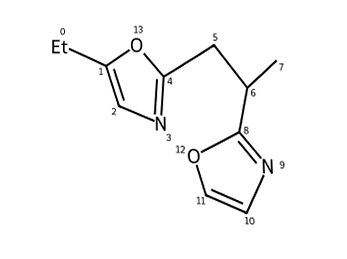 CCc1cnc(CC(C)c2ncco2)o1